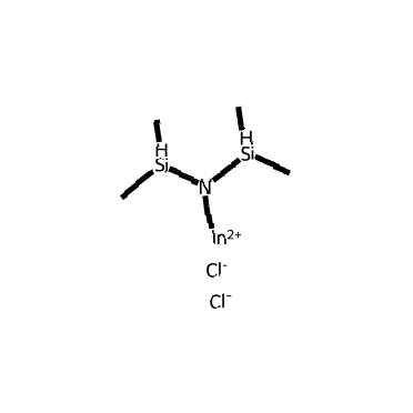 C[SiH](C)[N]([In+2])[SiH](C)C.[Cl-].[Cl-]